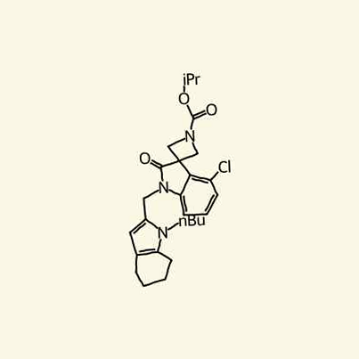 CCCCn1c(CN2C(=O)C3(CN(C(=O)OC(C)C)C3)c3c(Cl)cccc32)cc2c1CCCC2